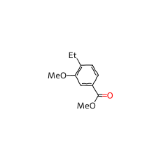 CCc1ccc(C(=O)OC)cc1OC